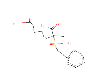 CC(CCCC(=O)O)(C(=O)O)P(=O)(O)Cc1ccccc1